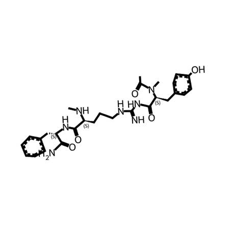 CN[C@@H](CCCNC(=N)NC(=O)[C@H](Cc1ccc(O)cc1)N(C)C(C)=O)C(=O)N[C@@H](Cc1ccccc1)C(N)=O